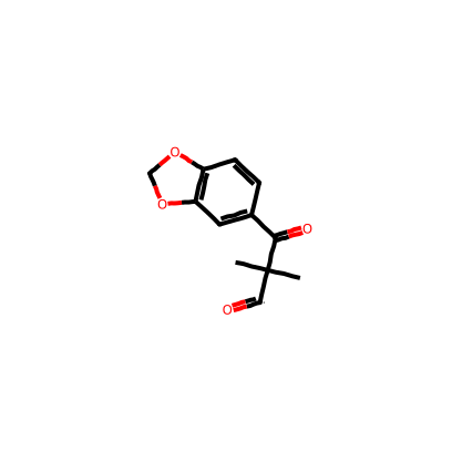 CC(C)([C]=O)C(=O)c1ccc2c(c1)OCO2